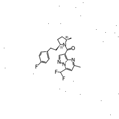 Cc1cc(C(F)F)n2ncc(C(=O)N3[C@@H](CCc4ccc(F)cc4)CC[C@H]3C)c2n1